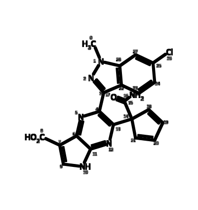 Cn1nc(-c2nc3c(C(=O)O)c[nH]c3nc2C2(C(N)=O)C=CC=C2)c2ccc(Cl)cc21